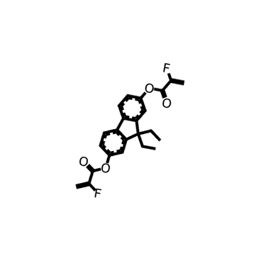 C=C(F)C(=O)Oc1ccc2c(c1)C(CC)(CC)c1cc(OC(=O)C(=C)F)ccc1-2